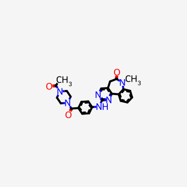 CC(=O)N1CCN(C(=O)c2ccc(Nc3ncc4c(n3)-c3ccccc3N(C)C(=O)C4)cc2)CC1